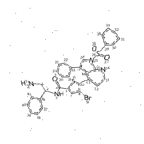 NCC(NC(=O)c1cc(Br)c(-c2ccnc3c2c(-c2ccccc2)cn3S(=O)(=O)c2ccccc2)s1)c1ccccc1